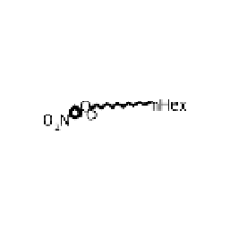 CCCCCCC=CCCCCCCCCCC(=O)Oc1ccc([N+](=O)[O-])cc1